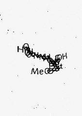 CCc1c(F)ccc2cc(OCOC)cc(-c3ncc4c(N5CCC[C@@](C)(O)C5)nc(OCC5(CN6CCN(C7CC8(C7)CN(c7ccc9c(c7)CN(C7CCC(=O)NC7=O)C9=O)C8)CC6)CC5)nc4c3F)c12